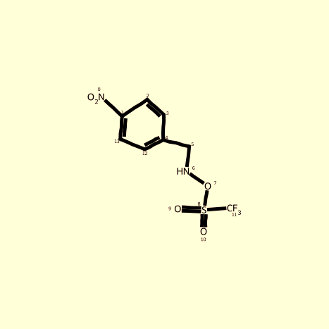 O=[N+]([O-])c1ccc(CNOS(=O)(=O)C(F)(F)F)cc1